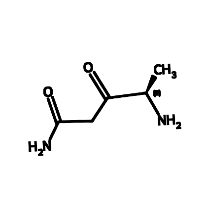 C[C@@H](N)C(=O)CC(N)=O